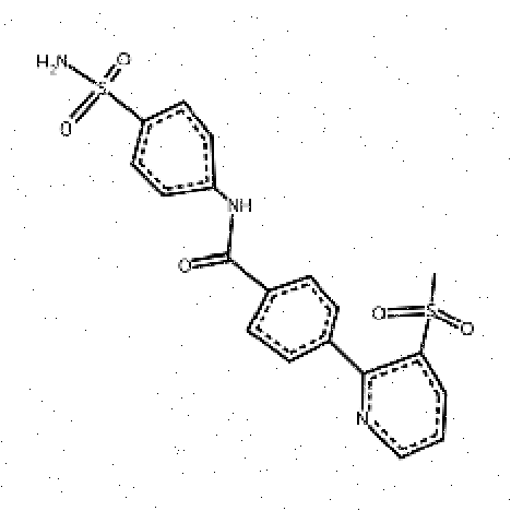 CS(=O)(=O)c1cccnc1-c1ccc(C(=O)Nc2ccc(S(N)(=O)=O)cc2)cc1